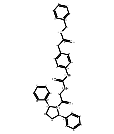 O=C(NCC(=O)N1[C@@H](c2ccccc2)CC[C@H]1c1ccccc1)Nc1ccc(CC(=O)OCc2ccccc2)cc1